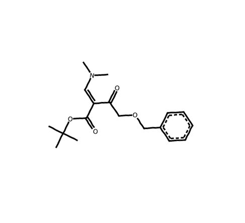 CN(C)/C=C(\C(=O)COCc1ccccc1)C(=O)OC(C)(C)C